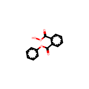 O=C(OO)c1ccccc1C(=O)Oc1ccccc1